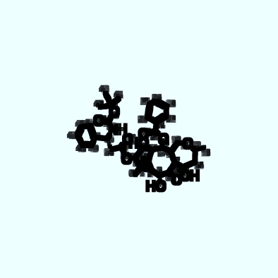 CC1=C2[C@@H](O)C(=O)[C@@]3(C)C(CO[C@@H](C)C[C@@H]3O)[C@H](OC(=O)c3ccccc3)[C@](O)(C[C@@H]1OC(=O)C[C@@H](NC(=O)OC(C)(C)C)c1ccccc1)C2(C)C